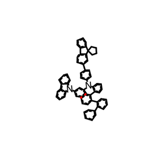 c1ccc(-c2ccccc2-c2ccccc2-c2ccccc2N(c2ccc(-c3ccc4c(c3)C3(CCCC3)c3ccccc3-4)cc2)c2cccc(-n3c4ccccc4c4ccccc43)c2)cc1